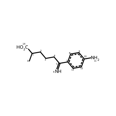 CC(CCCC(=N)c1ccc(N)cc1)C(=O)O